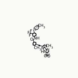 Cc1ccc(C(=O)Nc2ccc(CN3CCN(C)CC3)c(C(F)(F)F)c2)cc1C#Cc1cn(C)c(-c2ncc([N+](=O)[O-])[nH]2)n1